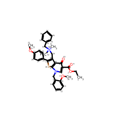 CCOC(=O)c1cn(Cc2ccccc2OC)c2sc(-c3ccc(OC)cc3)c(C[N+](C)(C)Cc3ccccc3)c2c1=O